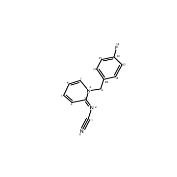 N#C/N=c1\ccccn1Cc1ccc(F)cc1